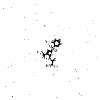 CC(C)[C@H](O)C(=O)Nc1sc(S(=O)(=O)c2ccc(F)cc2C(F)(F)F)cc1C(N)=O